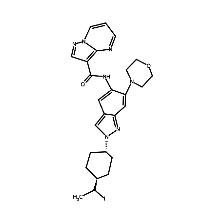 CC(I)[C@H]1CC[C@H](n2cc3cc(NC(=O)c4cnn5cccnc45)c(N4CCOCC4)cc3n2)CC1